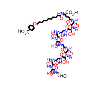 O=[C]CNC(=O)[C@H](CO)NC(=O)[C@H](CO)NC(=O)CNC(=O)[C@H](CO)NC(=O)[C@H](CO)NC(=O)CNC(=O)[C@H](CO)NC(=O)[C@H](CO)NC(=O)CNC(=O)[C@H](CO)NC(=O)[C@H](CO)NC(=O)CC[C@H](NC(=O)CCCCCCCCCCOc1ccc(C(=O)O)cc1)C(=O)O